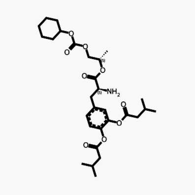 CC(C)CC(=O)Oc1ccc(C[C@H](N)C(=O)O[C@@H](C)COC(=O)OC2CCCCC2)cc1OC(=O)CC(C)C